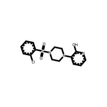 O=S(=O)(c1ccccc1Cl)N1CCN(c2cccnc2O)CC1